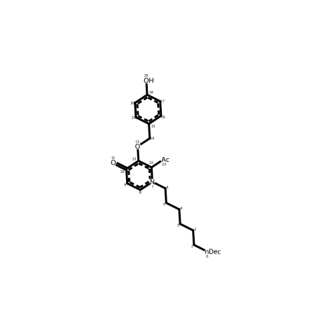 CCCCCCCCCCCCCCCCn1ccc(=O)c(OCc2ccc(O)cc2)c1C(C)=O